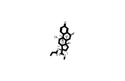 CCC(=O)O[C@]1(C(=S)OC)[C@@H](C)C[C@H]2[C@@H]3C[C@H](F)C4=CC(=O)C=C[C@]4(C)[C@@]3(Cl)[C@@H](Cl)C[C@@]21C